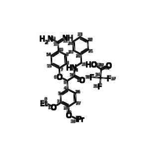 CCOc1cc(C(Oc2ccc(C(=N)N)cc2)C(=O)NCc2ccccc2)ccc1OC(C)C.O=C(O)C(F)(F)F